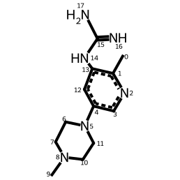 Cc1ncc(N2CCN(C)CC2)cc1NC(=N)N